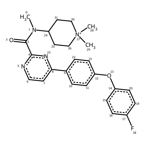 CN(C(=O)c1nccc(-c2ccc(Oc3ccc(F)cc3)cc2)n1)C1CC[N+](C)(C)CC1